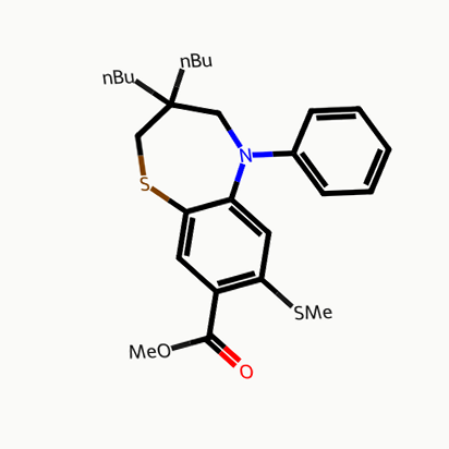 CCCCC1(CCCC)CSc2cc(C(=O)OC)c(SC)cc2N(c2ccccc2)C1